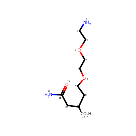 NCCOCCOCCC(CC(N)=O)C(=O)O